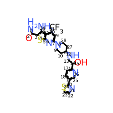 NC(=O)c1sc2nc(N3CCC(NCC(O)c4ccc(-c5nccs5)cn4)CC3)cc(C(F)(F)F)c2c1N